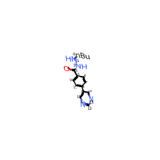 CCCCNNC(=O)c1ccc(-c2cncnc2)cc1